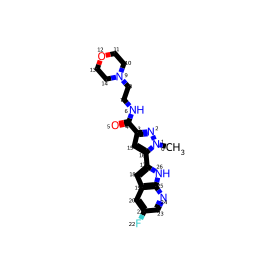 Cn1nc(C(=O)NCCN2CCOCC2)cc1-c1cc2cc(F)cnc2[nH]1